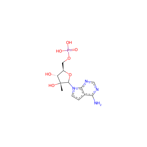 C[C@]1(O)C(n2ccc3c(N)ncnc32)O[C@H](COP(=O)(O)O)[C@H]1O